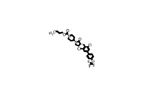 CCCCOC(=O)N1CCC(N2CC[C@@H](Cc3c(Cl)cc(-c4ccc(OC(F)(F)F)cc4)cc3Cl)C2=O)CC1